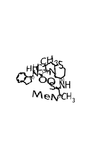 CN[C@@H](C)C(=S)N[C@H]1CCSC2CC(C)(C)[C@@H](C(=O)N[C@@H]3CCc4ccccc43)N2C1=O